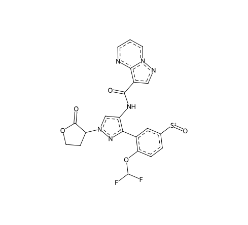 O=[S+]c1ccc(OC(F)F)c(-c2nn(C3CCOC3=O)cc2NC(=O)c2cnn3cccnc23)c1